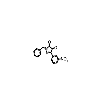 O=C1C(=O)N(Cc2ccccc2)N=C1c1cccc([N+](=O)[O-])c1